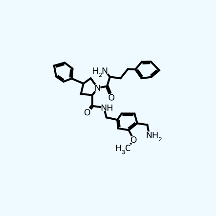 COc1cc(CNC(=O)C2CC(c3ccccc3)CN2C(=O)C(N)CCc2ccccc2)ccc1CN